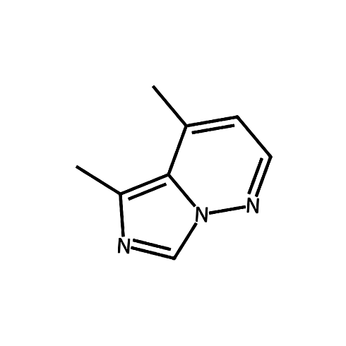 Cc1ccnn2cnc(C)c12